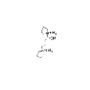 C[N+]1(CCCC(O)[N+]2(C)CCCC2)CCCC1